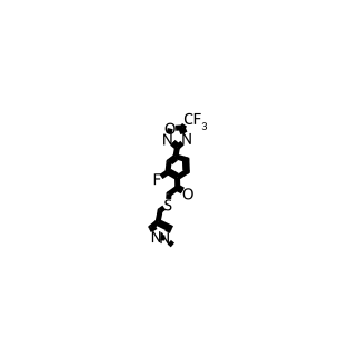 Cn1cc(CSCC(=O)c2ccc(-c3noc(C(F)(F)F)n3)cc2F)cn1